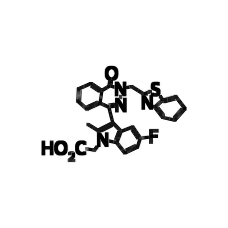 Cc1c(-c2nn(Cc3nc4ccccc4s3)c(=O)c3ccccc23)c2cc(F)ccc2n1CC(=O)O